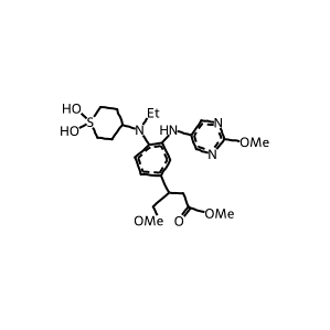 CCN(c1ccc(C(COC)CC(=O)OC)cc1Nc1cnc(OC)nc1)C1CCS(O)(O)CC1